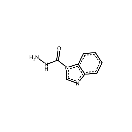 NNC(=O)n1cnc2ccccc21